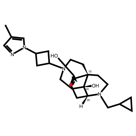 Cc1cnn(C2CC(N3CC[C@]45CCN(CC6CC6)[C@H](Cc6ccc(O)cc64)[C@]5(O)CC3)C2)c1